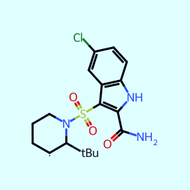 CC(C)(C)C1[CH]CCCN1S(=O)(=O)c1c(C(N)=O)[nH]c2ccc(Cl)cc12